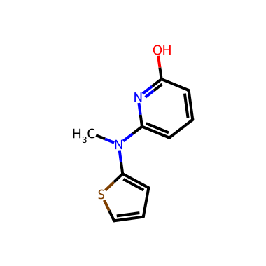 CN(c1cccc(O)n1)c1cccs1